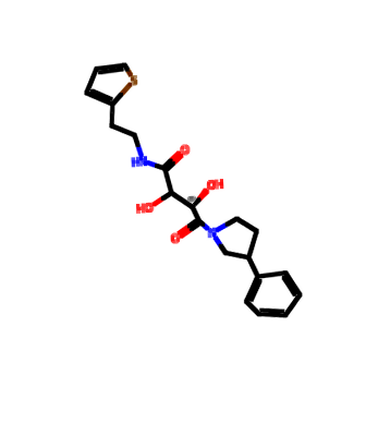 O=C(NCCc1cccs1)C(O)[C@@H](O)C(=O)N1CCC(c2ccccc2)C1